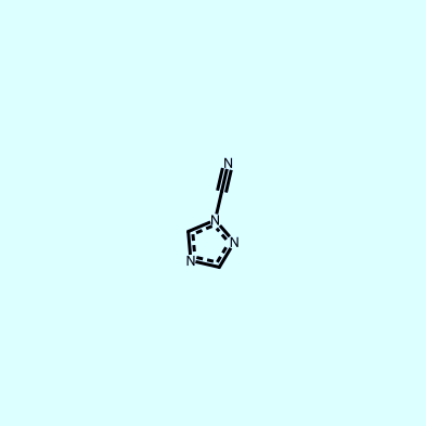 N#Cn1cncn1